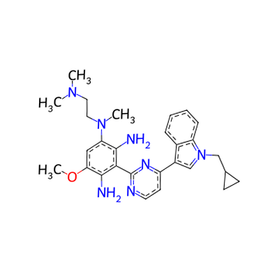 COc1cc(N(C)CCN(C)C)c(N)c(-c2nccc(-c3cn(CC4CC4)c4ccccc34)n2)c1N